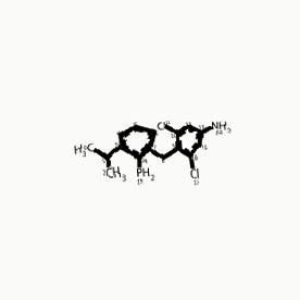 CC(C)c1cccc(Cc2c(Cl)cc(N)cc2Cl)c1P